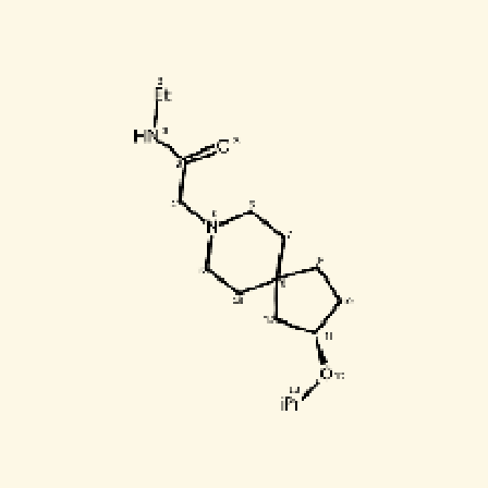 CCNC(=O)CN1CCC2(CC[C@@H](OC(C)C)C2)CC1